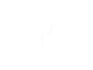 NCN(O)I